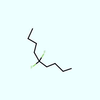 CCCCC(F)(F)CCCC